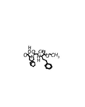 CCOC(=O)C(CCc1ccccc1)N[C@@H](C)C(=O)N1CC2(CC3CCC2CC3)CC1C(=O)O